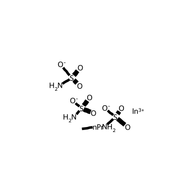 CCCC.NS(=O)(=O)[O-].NS(=O)(=O)[O-].NS(=O)(=O)[O-].[In+3]